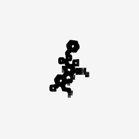 Nc1c(F)c(-c2ccc(Cl)c(CCF)c2F)nc(C(=O)OCc2ccccc2)c1Cl